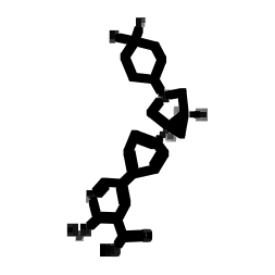 Nc1ncc(-c2ccc([C@@]34C[C@@H]3CN(C3CCC(F)(F)CC3)C4)cc2)cc1C(=O)O